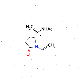 C=CN1CCCC1=O.C=CNC(C)=O